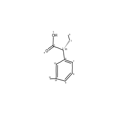 CC[C@@H](C(=O)O)c1cccc(C)c1